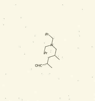 CC([CH]C(C)[CH2][Al]([CH2]C(C)C)[CH2]C(C)C)C=O